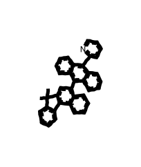 CC1(C)c2ccccc2-c2c1cc(-c1c3ccccc3c(-c3ccccn3)c3ccccc13)c1ccccc21